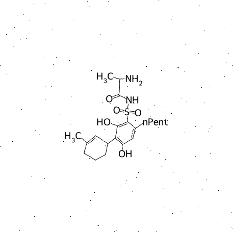 CCCCCc1cc(O)c(C2C=C(C)CCC2)c(O)c1S(=O)(=O)NC(=O)C(C)N